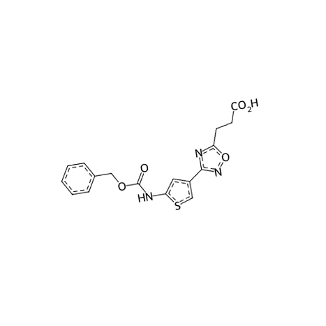 O=C(O)CCc1nc(-c2csc(NC(=O)OCc3ccccc3)c2)no1